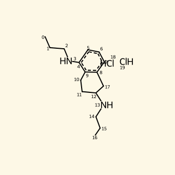 CCCNc1cccc2c1CCC(NCCC)C2.Cl.Cl